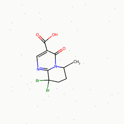 CC1CCC(Br)(Br)c2ncc(C(=O)O)c(=O)n21